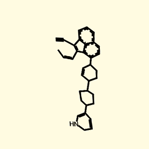 C#CC1=C(/C=C\C)c2c(C3C=CC(C4CCC(C5=CNCC=C5)CC4)CC3)ccc3cccc1c23